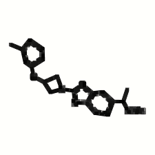 CC(=O)NC(C)c1ccc2nc(N3CC(Oc4cccc(C)c4)C3)oc2c1